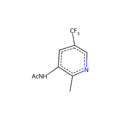 CC(=O)Nc1cc(C(F)(F)F)cnc1C